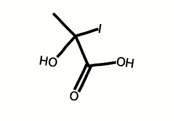 CC(O)(I)C(=O)O